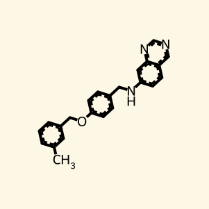 Cc1cccc(COc2ccc(CNc3ccc4cncnc4c3)cc2)c1